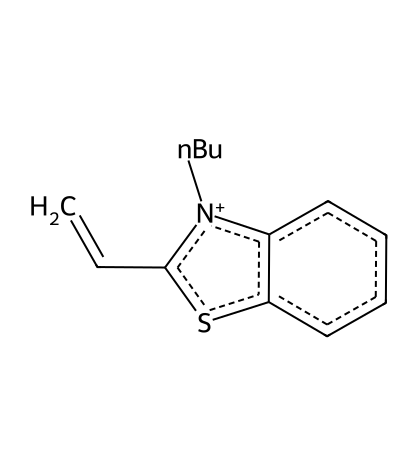 C=Cc1sc2ccccc2[n+]1CCCC